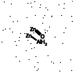 [AlH2][Zn].[O]=[Zn]